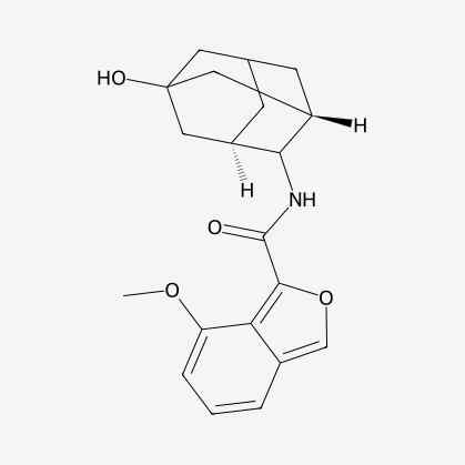 COc1cccc2coc(C(=O)NC3[C@@H]4CC5C[C@H]3CC(O)(C5)C4)c12